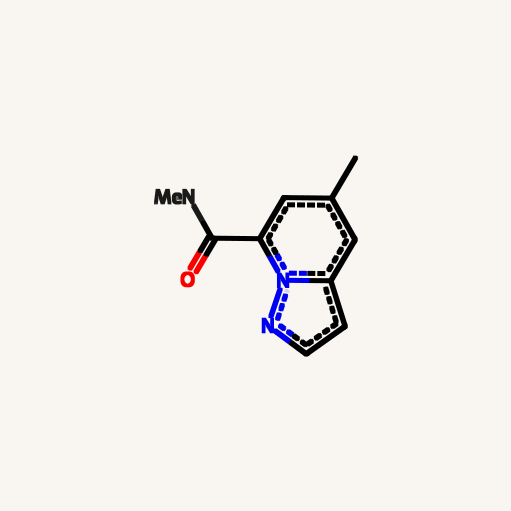 CNC(=O)c1cc(C)cc2ccnn12